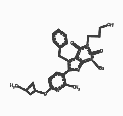 CCC(C)n1c(=O)n(CCCO)c(=O)c2c1nc(-c1ccc(OC3CC(C)C3)nc1C)n2Cc1ccccc1